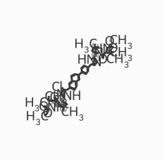 COC(=O)NC(C(=O)N1C[C@@H](C)C[C@H]1c1ncc(-c2ccc(-c3ccc4cc(-c5[nH]c([C@@H]6C[C@H](C)CN6C(=O)[C@@H](NC(=O)OC)C(C)C)nc5Cl)ccc4c3)cc2)[nH]1)C(C)C